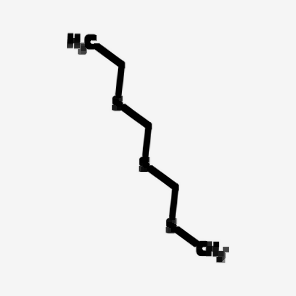 [CH2]SCSCSCC